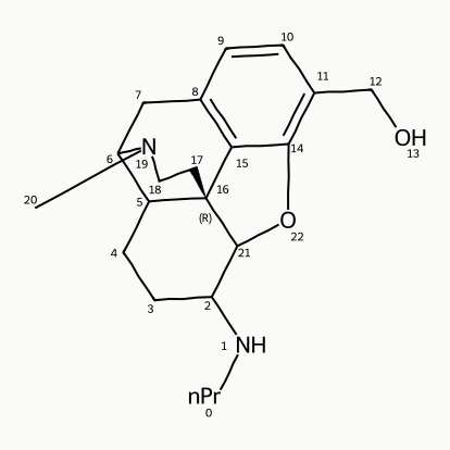 CCCNC1CCC2C3Cc4ccc(CO)c5c4[C@]2(CCN3C)C1O5